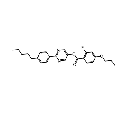 CCCCCc1ccc(-c2ncc(OC(=O)c3ccc(OCCC)cc3F)cn2)cc1